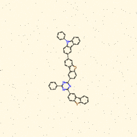 c1ccc(-c2nc(-c3ccc4sc5ccccc5c4c3)nc(-c3ccc4sc5cc(-c6ccc7c(c6)c6ccccc6n7-c6ccccc6)ccc5c4c3)n2)cc1